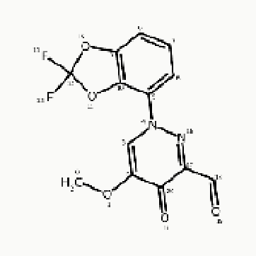 COc1cn(-c2cccc3c2OC(F)(F)O3)nc(C=O)c1=O